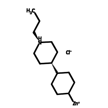 CCC[Si@H]1CC[C@H](C2CC[CH]([Zn+])CC2)CC1.[Cl-]